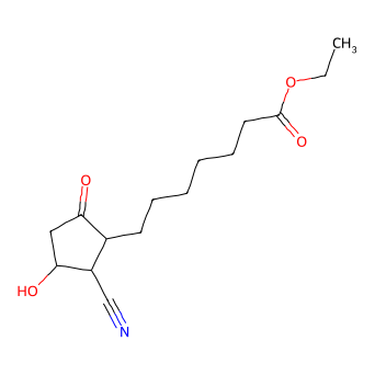 CCOC(=O)CCCCCCC1C(=O)CC(O)C1C#N